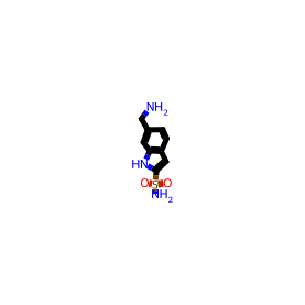 NCc1ccc2cc(S(N)(=O)=O)[nH]c2c1